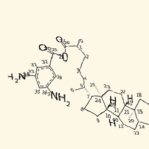 CC(CCCC(C)[C@H]1CC[C@H]2[C@@H]3CCC4CCCC[C@]4(C)[C@H]3CC[C@]12C)C(=O)OC(=O)c1cc(N)cc(N)c1